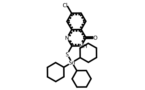 O=c1[nH]c([S][Sn]([CH]2CCCCC2)([CH]2CCCCC2)[CH]2CCCCC2)nc2cc(Cl)ccc12